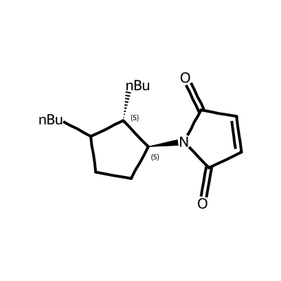 CCCCC1CC[C@H](N2C(=O)C=CC2=O)[C@H]1CCCC